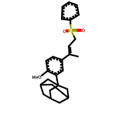 COc1ccc(C(C)=CCS(=O)(=O)c2ccccc2)cc1C12CC3CC(CC(C3)C1)C2